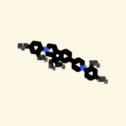 CC1(C)c2cc(-c3cc[n+](-c4ccc([N+](=O)[O-])cc4[N+](=O)[O-])cc3)ccc2-c2cc[n+](-c3ccc([N+](=O)[O-])cc3[N+](=O)[O-])cc21